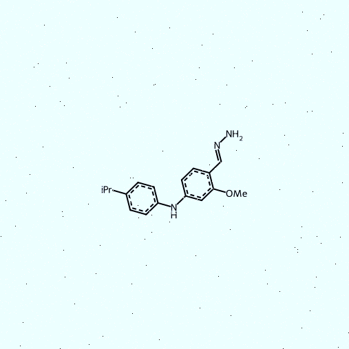 COc1cc(Nc2ccc(C(C)C)cc2)ccc1C=NN